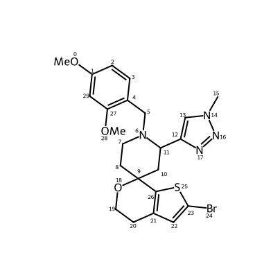 COc1ccc(CN2CCC3(CC2c2cn(C)nn2)OCCc2cc(Br)sc23)c(OC)c1